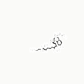 CC(C)=C(/C(O)=C(/O)CCCCC(=O)NCCS)[C@@]12CCC=CC1[C@@H](C)N(C)CP2